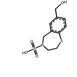 O=S(=O)(O)N1CCSc2ccc(CO)cc2C1